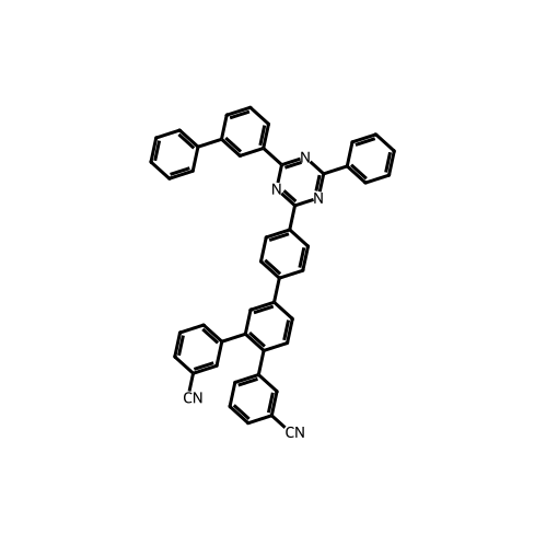 N#Cc1cccc(-c2ccc(-c3ccc(-c4nc(-c5ccccc5)nc(-c5cccc(-c6ccccc6)c5)n4)cc3)cc2-c2cccc(C#N)c2)c1